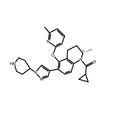 Cc1cccc(Oc2c(-c3cnn(C4CCNCC4)c3)ccc3c2CC[C@H](C)N3C(=O)C2CC2)n1